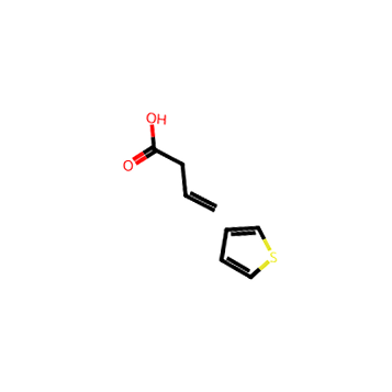 C=CCC(=O)O.c1ccsc1